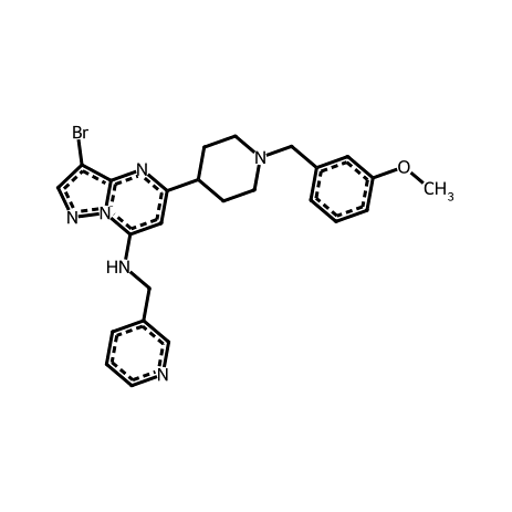 COc1cccc(CN2CCC(c3cc(NCc4cccnc4)n4ncc(Br)c4n3)CC2)c1